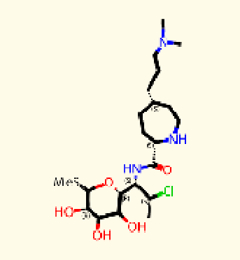 CSC1O[C@H]([C@H](NC(=O)[C@@H]2CC[C@H](CCCN(C)C)CCN2)[C@H](C)Cl)C(O)C(O)[C@H]1O